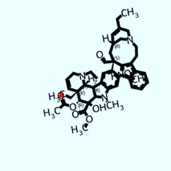 CCC1=C[C@@H]2CN(CCc3c([nH]c4ccccc34)[C@@](C=O)(c3cc4c(cc3OC)N(C)C3C(O)(C(=O)OC)[C@H](OC(C)=O)[C@]5(CC)C=CCN6CC[C@]43[C@@H]65)C2)C1